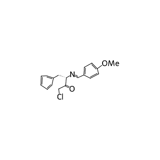 COc1ccc(C=N[C@@H](Cc2ccccc2)C(=O)CCl)cc1